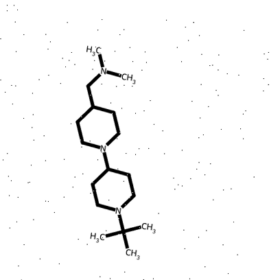 CN(C)CC1CCN(C2CCN(C(C)(C)C)CC2)CC1